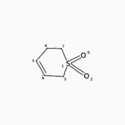 O=S1(=O)C[C]=CCC1